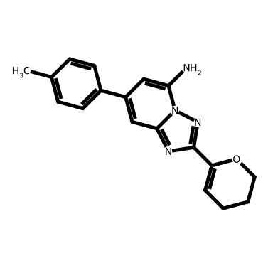 Cc1ccc(-c2cc(N)n3nc(C4=CCCCO4)nc3c2)cc1